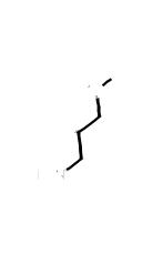 NCCCSCl